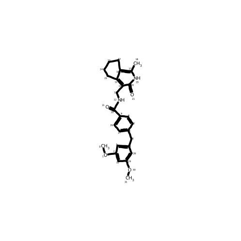 COc1cc(Cc2ccc(C(=O)NCc3c4c(c(C)[nH]c3=O)CCCC4)cc2)cc(OC)c1